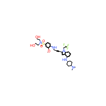 COc1cc(S(=O)(=O)N(CCO)CCO)ccc1NCC#Cc1cc2c(N[C@H]3CC[C@H](N(C)C)CC3)cccc2n1CC(F)(F)F